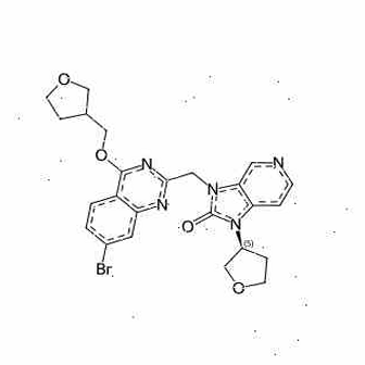 O=c1n(Cc2nc(OCC3CCOC3)c3ccc(Br)cc3n2)c2cnccc2n1[C@H]1CCOC1